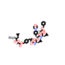 CN[C@@H](CC1CC1)C(=O)O[C@H](C)C(=O)OCc1ccc(CC(C)(C)OC(=O)N(C)[C@@H](CC2CC2)C(=O)O[C@H](Cc2ccc(N3CCOCC3)cc2)C(=O)N(C)[C@@H](CC2CC2)C(=O)O[C@H](C)C(=O)OCc2ccccc2)cc1